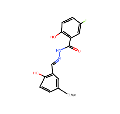 COc1ccc(O)c(C=NNC(=O)c2cc(F)ccc2O)c1